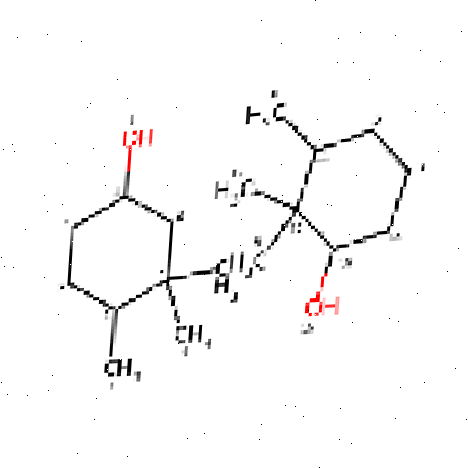 CC1CCC(O)CC1(C)C.CC1CCCC(O)C1(C)C